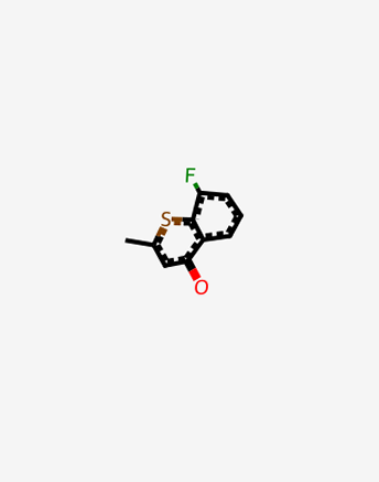 Cc1cc(=O)c2cccc(F)c2s1